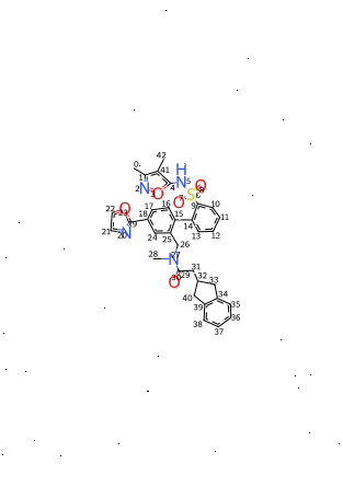 Cc1noc(NS(=O)(=O)c2ccccc2-c2ccc(-c3ncco3)cc2CN(C)C(=O)CC2Cc3ccccc3C2)c1C